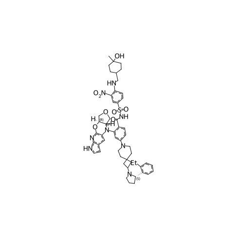 CCc1ccccc1[C@@H]1CCCN1C1CC2(CCN(c3ccc(C(=O)NS(=O)(=O)c4ccc(NCC5CCC(C)(O)CC5)c([N+](=O)[O-])c4)c(N4c5cc6cc[nH]c6nc5O[C@H]5COC[C@@H]54)c3)CC2)C1